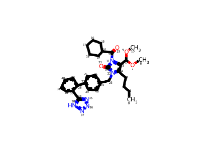 CCCCc1c(C(OC)OC)n(C(=O)C2CCCCC2)c(=O)n1Cc1ccc(-c2ccccc2-c2nnn[nH]2)cc1